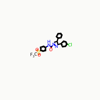 O=C(Nc1ccc(S(=O)(=O)C(F)(F)F)cc1)N1CC(c2ccccc2)C(c2ccc(Cl)cc2)=N1